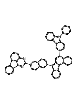 c1ccc(-n2c3ccccc3c3cc(-c4cc5c(c6ccccc46)c4ccccc4n5-c4ccc5cc(-c6nc7c8c(cccc8n6)-c6ccccc6-7)ccc5c4)ccc32)cc1